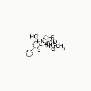 CS(=O)(=O)N[C@@H]1[C@H](Cc2cccc(-c3ccccc3)c2F)NC2CC1(F)C2.Cl